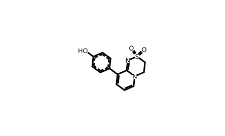 O=S1(=O)CCN2C=CC=C(c3ccc(O)cc3)C2=N1